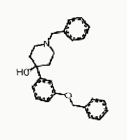 OC1(c2cccc(OCc3ccccc3)c2)CCN(Cc2ccccc2)CC1